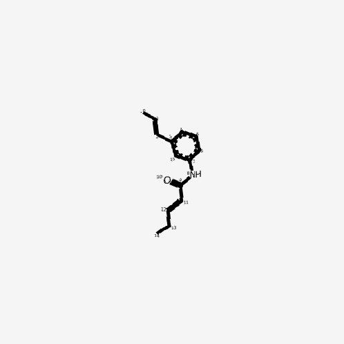 [CH2]/C=C/c1cccc(NC(=O)/C=C/CC)c1